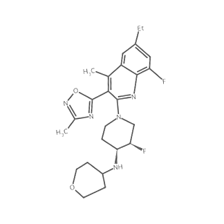 CCc1cc(F)c2nc(N3CC[C@H](NC4CCOCC4)[C@H](F)C3)c(-c3nc(C)no3)c(C)c2c1